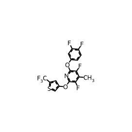 Cc1c(F)c(Oc2csc(C(F)(F)F)c2)nc(Oc2ccc(F)c(F)c2)c1F